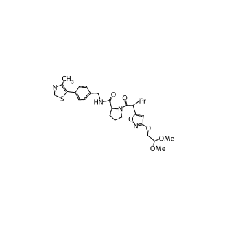 COC(COc1cc(C(C(=O)N2CCC[C@H]2C(=O)NCc2ccc(-c3scnc3C)cc2)C(C)C)on1)OC